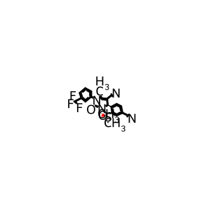 CC1=C(C#N)[C@@H](c2ccc(C#N)cc2[S@@+](C)[O-])N(C)C(=O)N1c1cccc(C(F)(F)F)c1